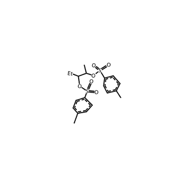 CCC(OS(=O)(=O)c1ccc(C)cc1)C(C)OS(=O)(=O)c1ccc(C)cc1